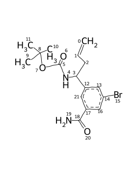 C=CCC(NC(=O)OC(C)(C)C)c1cc(Br)cc(C(N)=O)c1